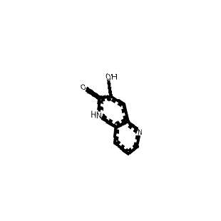 O=c1[nH]c2cccnc2cc1O